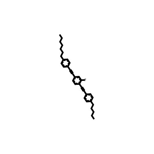 CCCCCCCc1ccc(C#Cc2ccc(C#Cc3ccc(CCCCC)cc3)c(F)c2)cc1